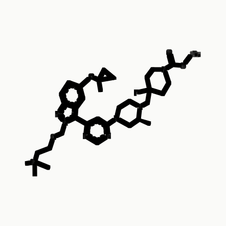 C[C@H]1CN(c2cc(-c3c4cc(OC5(C)CC5)ccc4nn3COCC[Si](C)(C)C)ncn2)CCN1CC1(F)CCN(C(=O)OC(C)(C)C)CC1